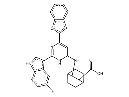 O=C(O)C1C2CCC(CC2)C1NC1C=C(c2cc3ccccc3o2)N=C(c2c[nH]c3ncc(F)cc23)N1